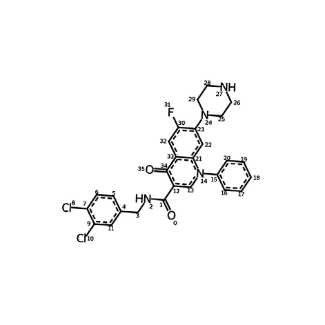 O=C(NCc1ccc(Cl)c(Cl)c1)c1cn(-c2ccccc2)c2cc(N3CCNCC3)c(F)cc2c1=O